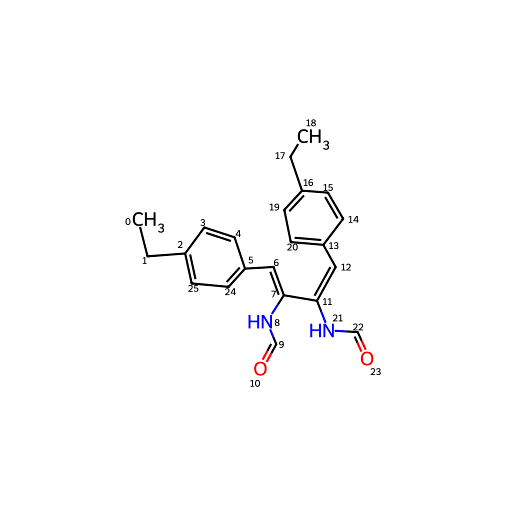 CCc1ccc(C=C(NC=O)/C(=C\c2ccc(CC)cc2)NC=O)cc1